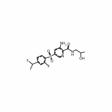 CC(O)CNC(=O)c1ncc(S(=O)(=O)c2ccc(C(F)F)cc2F)cc1N